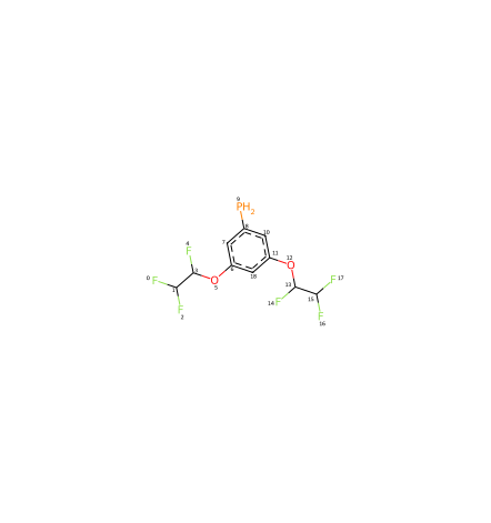 FC(F)C(F)Oc1cc(P)cc(OC(F)C(F)F)c1